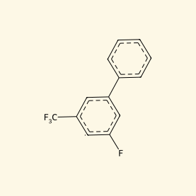 Fc1[c]c(C(F)(F)F)cc(-c2ccccc2)c1